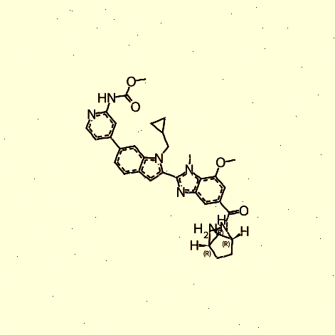 COC(=O)Nc1cc(-c2ccc3cc(-c4nc5cc(C(=O)N6C[C@H]7CC[C@@H]6[C@@H]7N)cc(OC)c5n4C)n(CC4CC4)c3c2)ccn1